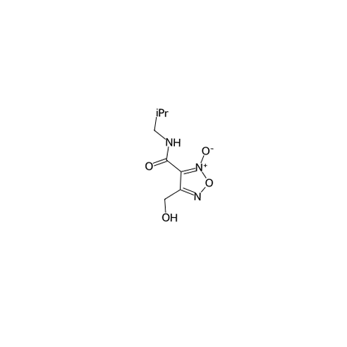 CC(C)CNC(=O)c1c(CO)no[n+]1[O-]